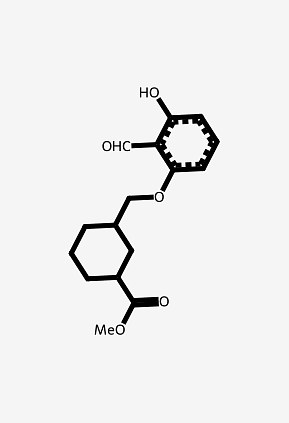 COC(=O)C1CCCC(COc2cccc(O)c2C=O)C1